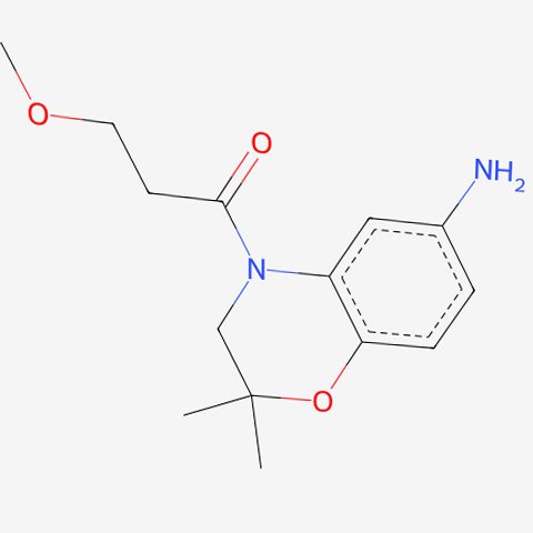 COCCC(=O)N1CC(C)(C)Oc2ccc(N)cc21